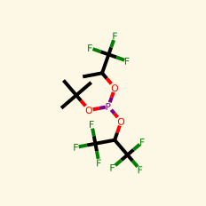 CC(OP(OC(C(F)(F)F)C(F)(F)F)OC(C)(C)C)C(F)(F)F